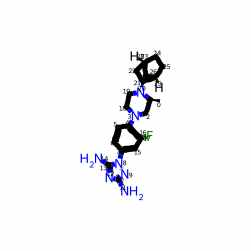 C[C@H]1CN(c2ccc(-n3nc(N)nc3N)cc2F)CCN1[C@H]1C[C@@H]2CC[C@H]1C2